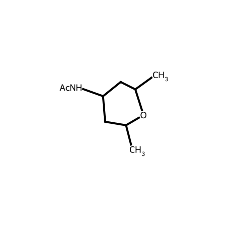 CC(=O)NC1CC(C)OC(C)C1